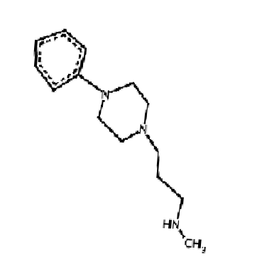 CNCCCN1CCN(c2ccccc2)CC1